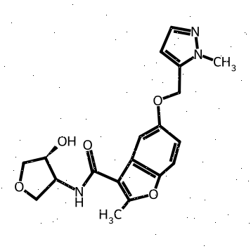 Cc1oc2ccc(OCc3ccnn3C)cc2c1C(=O)NC1COC[C@H]1O